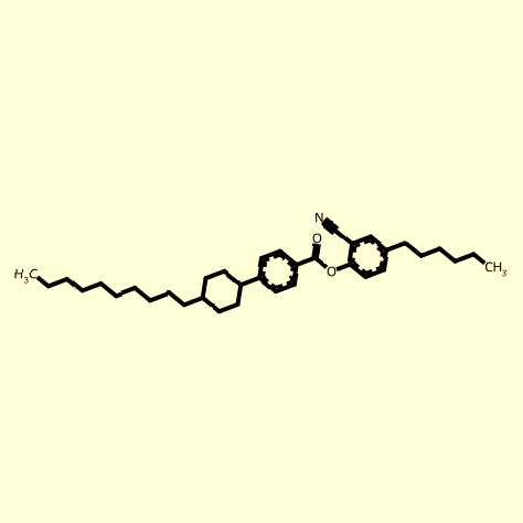 CCCCCCCCCCC1CCC(c2ccc(C(=O)Oc3ccc(CCCCCC)cc3C#N)cc2)CC1